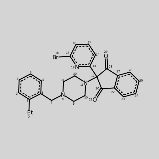 CCc1ccccc1CN1CCN(C2(c3cccc(Br)n3)C(=O)c3ccccc3C2=O)CC1